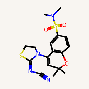 CN(C)S(=O)(=O)c1ccc2c(c1)C(N1CCS/C1=N/C#N)=CC(C)(C)O2